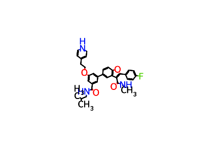 CNC(=O)c1c(-c2ccc(F)cc2)oc2ccc(-c3cc(OCCC4=CCNC=C4)cc(C(=O)NCC(C)C)c3)cc12